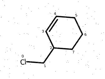 ClCC1C=CCCC1